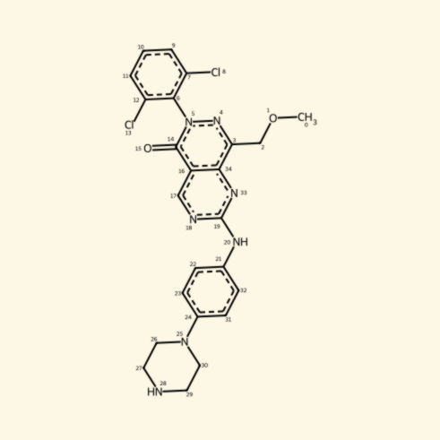 COCc1nn(-c2c(Cl)cccc2Cl)c(=O)c2cnc(Nc3ccc(N4CCNCC4)cc3)nc12